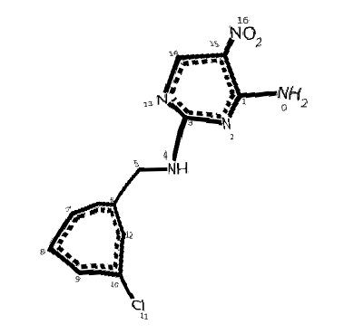 Nc1nc(NCc2cccc(Cl)c2)ncc1[N+](=O)[O-]